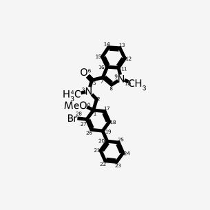 COC1(CN(C)C(=O)c2cn(C)c3ccccc23)C=CC(c2ccccc2)C=C1Br